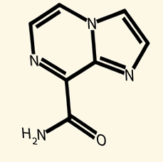 NC(=O)c1nccn2ccnc12